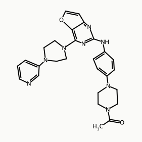 CC(=O)N1CCN(c2ccc(Nc3nc(N4CCN(c5cccnc5)CC4)c4occc4n3)cc2)CC1